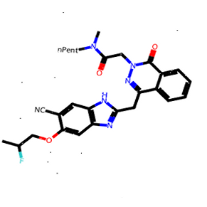 CCCCCN(C)C(=O)Cn1nc(Cc2nc3cc(OCC(C)F)c(C#N)cc3[nH]2)c2ccccc2c1=O